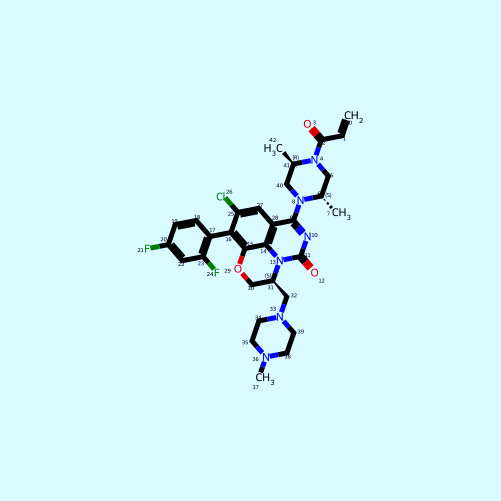 C=CC(=O)N1C[C@H](C)N(c2nc(=O)n3c4c(c(-c5ccc(F)cc5F)c(Cl)cc24)OC[C@@H]3CN2CCN(C)CC2)C[C@H]1C